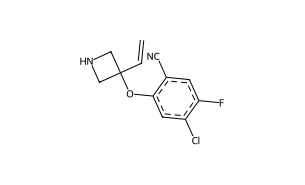 C=CC1(Oc2cc(Cl)c(F)cc2C#N)CNC1